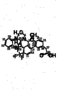 CCN(Cc1cc(C(F)(F)F)ccc1-c1cc(CC(=O)O)ccc1OC)C(=O)Nc1ccccc1Br